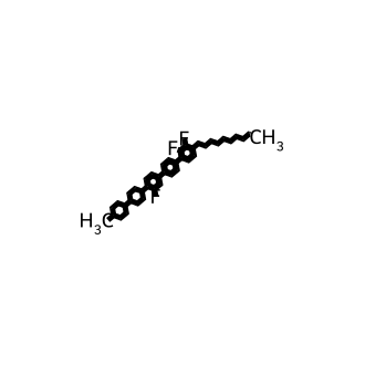 CCCCCCCCCCc1ccc(-c2ccc(-c3ccc(C4CCC(C5CCC(C)CC5)CC4)c(F)c3)cc2)c(F)c1F